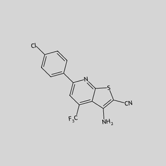 N#Cc1sc2nc(-c3ccc(Cl)cc3)cc(C(F)(F)F)c2c1N